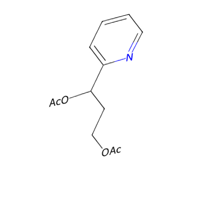 CC(=O)OCCC(OC(C)=O)c1ccccn1